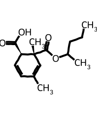 CCCC(C)OC(=O)[C@]1(C)C=C(C)C=C[C@H]1C(=O)O